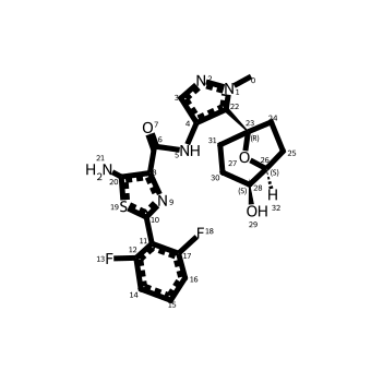 Cn1ncc(NC(=O)c2nc(-c3c(F)cccc3F)sc2N)c1[C@@]12CC[C@H](O1)[C@@H](O)CC2